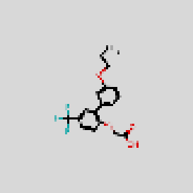 CCCOc1cccc(-c2cc(C(F)(F)F)ccc2OCC(=O)O)c1